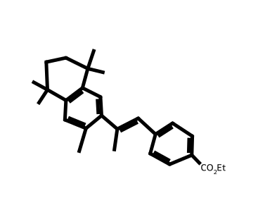 CCOC(=O)c1ccc(C=C(C)c2cc3c(cc2C)C(C)(C)CCC3(C)C)cc1